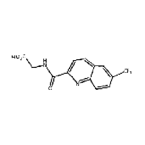 O=C(O)CNC(=O)c1ccc2cc(C(F)(F)F)ccc2n1